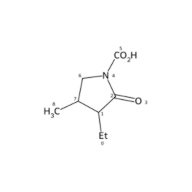 CCC1C(=O)N(C(=O)O)CC1C